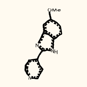 COc1ccc2[nH]c(-c3ccncc3)nc2c1